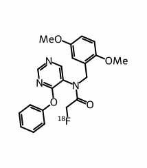 COc1ccc(OC)c(CN(C(=O)C[18F])c2cncnc2Oc2ccccc2)c1